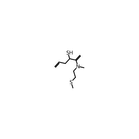 C=CCC(S)C(=C)N(C)CCSC